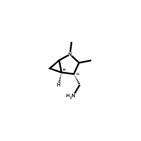 CC1[C@H](CN)[C@H]2CC2N1C